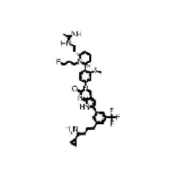 CSc1cc(-n2cc3cc(-c4cc(CCC[C@@H](N)C5CC5)cc(C(F)(F)F)c4)[nH]c3nc2=O)ccc1[C@@H]1CCC[C@@H](CCNC(C)=N)N1CCCF